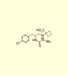 CC(C)(C)OC(=O)NC(CNC1(C(=O)O)CCC1)Cc1ccc(Cl)cc1